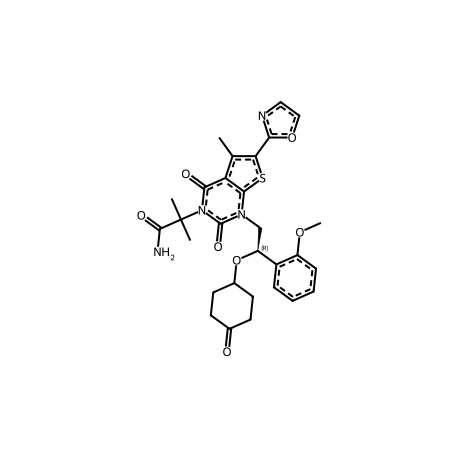 COc1ccccc1[C@H](Cn1c(=O)n(C(C)(C)C(N)=O)c(=O)c2c(C)c(-c3ncco3)sc21)OC1CCC(=O)CC1